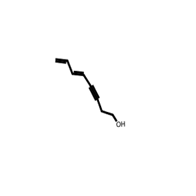 C=CC=CC#CCCO